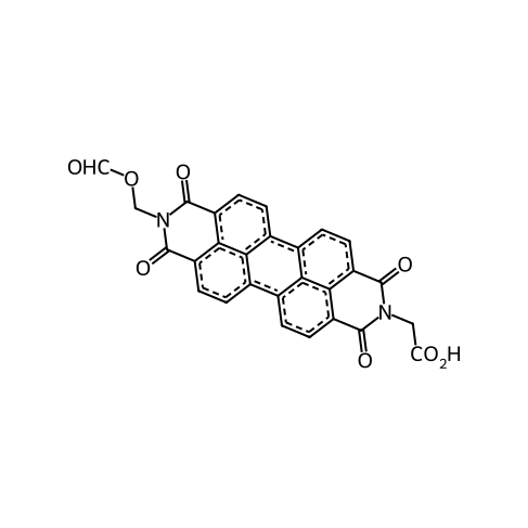 O=COCN1C(=O)c2ccc3c4ccc5c6c(ccc(c7ccc(c2c37)C1=O)c64)C(=O)N(CC(=O)O)C5=O